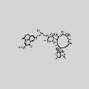 CC[C@H]1OC(=O)[C@H](C)[C@@H](OC2C[C@@](C)(OC)[C@@H](OCCN(CC)CCSc3cc4c5c(c3)c(=O)c(C(=O)O)cn5C(C)CC4)[C@H](C)O2)[C@H](C)[C@@H](O[C@@H]2O[C@H](C)C[C@H](N(C)C)[C@H]2O)[C@](C)(O)C[C@@H](C)CN(C)[C@H](C)[C@H](O)[C@]1(C)O